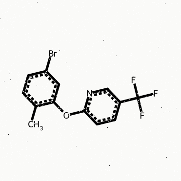 Cc1ccc(Br)cc1Oc1ccc(C(F)(F)F)cn1